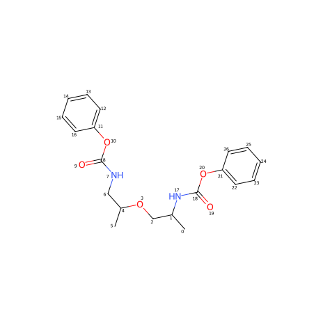 CC(COC(C)CNC(=O)Oc1ccccc1)NC(=O)Oc1ccccc1